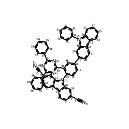 N#Cc1ccc2c3ccc(C#N)cc3n(-c3ccc(-c4ccc5c6ccccc6n(-c6ccccc6)c5c4)cc3-c3nc(-c4ccccc4)nc(-c4ccccc4)n3)c2c1